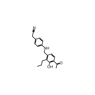 CCCc1c(CNc2ccc(CC#N)cc2)ccc(C(C)=O)c1O